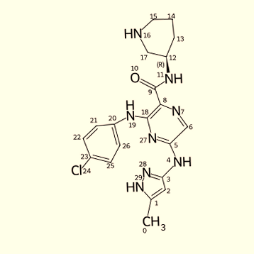 Cc1cc(Nc2cnc(C(=O)N[C@@H]3CCCNC3)c(Nc3ccc(Cl)cc3)n2)n[nH]1